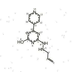 C=CCNNc1nc(O)nc(-c2ccncc2)n1